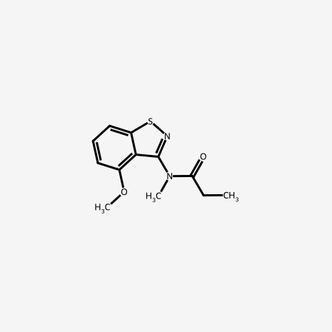 CCC(=O)N(C)c1nsc2cccc(OC)c12